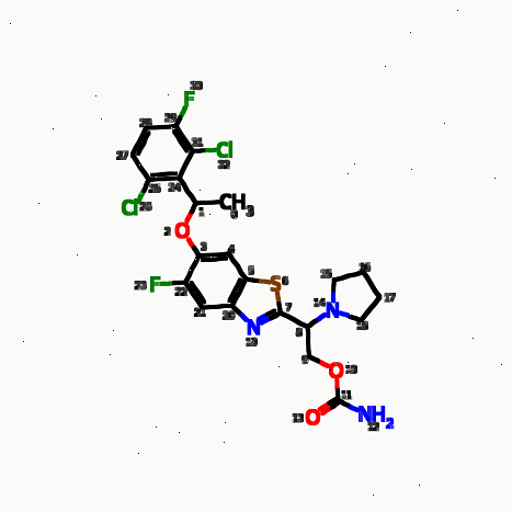 CC(Oc1cc2sc(C(COC(N)=O)N3CCCC3)nc2cc1F)c1c(Cl)ccc(F)c1Cl